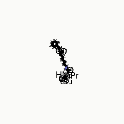 CC(C)[C@H](NC(=O)OC(C)(C)C)C(=O)/C=C/CCCCCC(=O)OCc1ccccc1